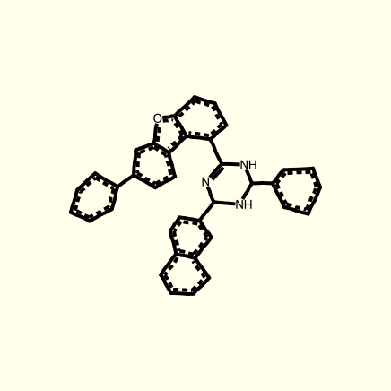 c1ccc(-c2ccc3c(c2)oc2cccc(C4=NC(c5ccc6ccccc6c5)NC(c5ccccc5)N4)c23)cc1